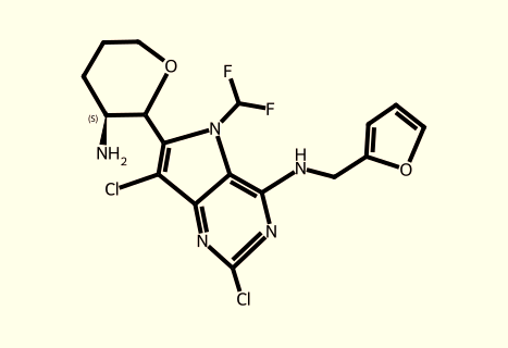 N[C@H]1CCCOC1c1c(Cl)c2nc(Cl)nc(NCc3ccco3)c2n1C(F)F